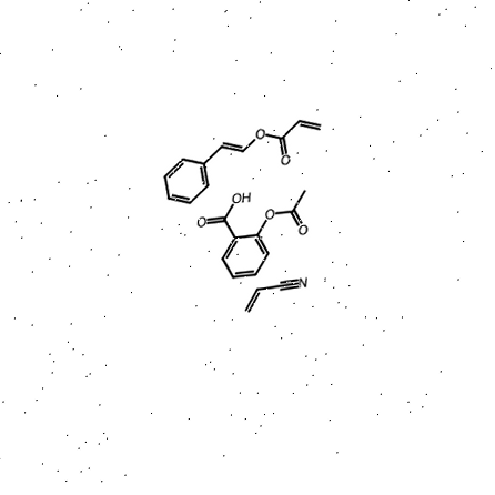 C=CC#N.C=CC(=O)OC=Cc1ccccc1.CC(=O)Oc1ccccc1C(=O)O